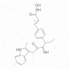 CCC(C(=N)C(=O)Cc1c(C)[nH]c2ccccc12)c1ccc(/C=C/C(=O)NO)cc1